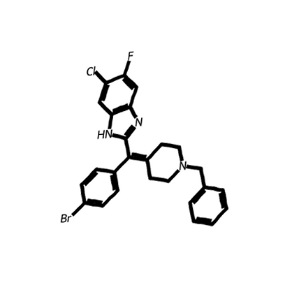 Fc1cc2nc(C(=C3CCN(Cc4ccccc4)CC3)c3ccc(Br)cc3)[nH]c2cc1Cl